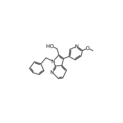 COc1ccc(-c2c(CO)n(Cc3ccccc3)c3ncccc23)cn1